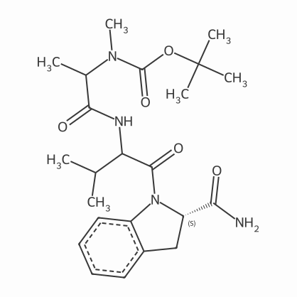 CC(C)C(NC(=O)C(C)N(C)C(=O)OC(C)(C)C)C(=O)N1c2ccccc2C[C@H]1C(N)=O